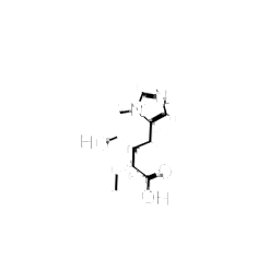 CC[C@@H](C(=O)O)[C@H](CO)Cc1cncn1C